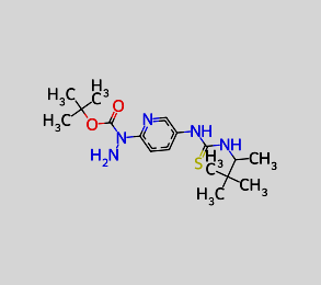 CC(NC(=S)Nc1ccc(N(N)C(=O)OC(C)(C)C)nc1)C(C)(C)C